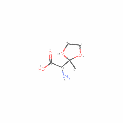 CC1([C@H](N)C(=O)O)OCCO1